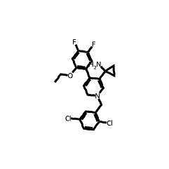 CCOc1cc(F)c(F)cc1C1=CCN(Cc2cc(Cl)ccc2Cl)C=C1C1(N)CC1